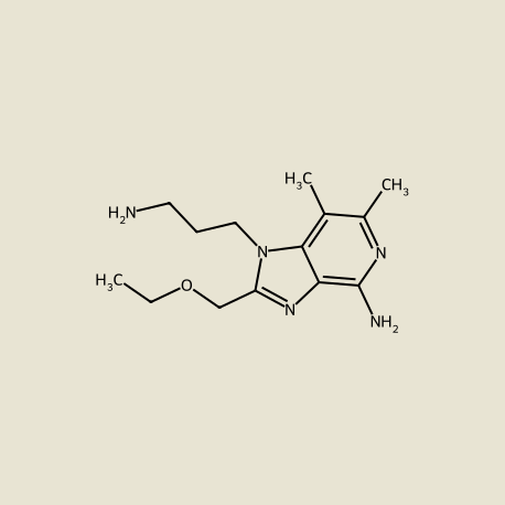 CCOCc1nc2c(N)nc(C)c(C)c2n1CCCN